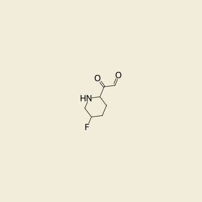 O=CC(=O)C1CCC(F)CN1